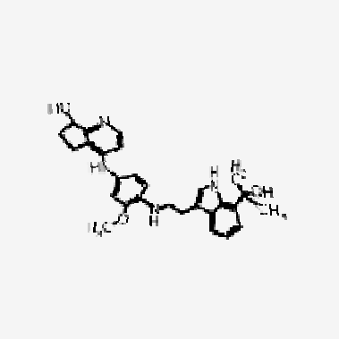 COc1cc(Nc2ccnc3c2CCC3O)ccc1NCCc1c[nH]c2c(C(C)(C)O)cccc12